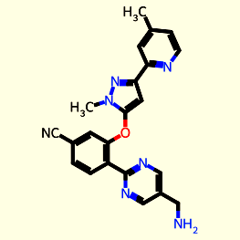 Cc1ccnc(-c2cc(Oc3cc(C#N)ccc3-c3ncc(CN)cn3)n(C)n2)c1